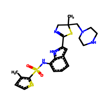 Cc1ccsc1S(=O)(=O)Nc1cccc2cc(C3=NCC(C)(CN4CCNCC4)S3)[nH]c12